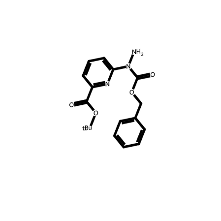 CC(C)(C)OC(=O)c1cccc(N(N)C(=O)OCc2ccccc2)n1